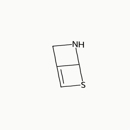 C1=C2CNC2S1